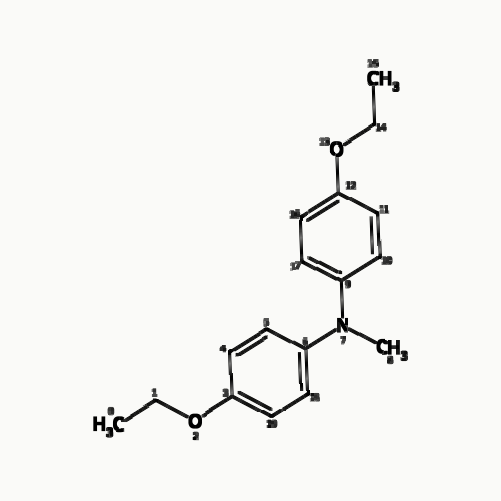 CCOc1ccc(N(C)c2ccc(OCC)cc2)cc1